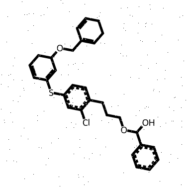 OC(OCCCc1ccc(SC2=CC(OCC3=CCCC=C3)CC=C2)cc1Cl)c1ccccc1